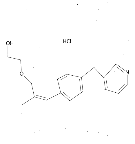 CC(=Cc1ccc(Cc2cccnc2)cc1)COCCO.Cl